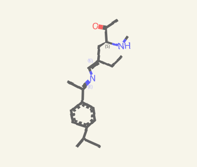 CC/C(=C\N=C(/C)c1ccc(C(C)C)cc1)C[C@H](NC)C(C)=O